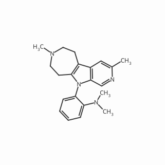 Cc1cc2c3c(n(-c4ccccc4N(C)C)c2cn1)CCN(C)CC3